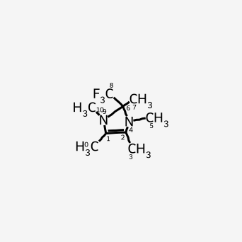 CC1=C(C)N(C)C(C)(C(F)(F)F)N1C